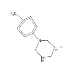 C[C@@H]1CNCN(c2ccc(C(F)(F)F)cc2)C1